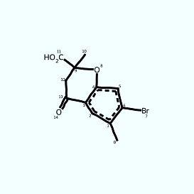 Cc1cc2c(cc1Br)OC(C)(C(=O)O)CC2=O